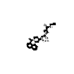 C#CCNC(=O)C1CN(C(=O)CN(SC)C2CCN(C(C)c3cccc4ccccc34)CC2)C1